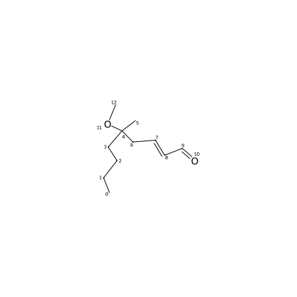 CCCCC(C)(CC=CC=O)OC